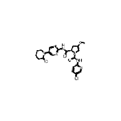 COC1CC(C(=O)Nc2ncc(N3CCCCC3=O)cn2)N(C(=O)Nc2ccc(Cl)cn2)C1